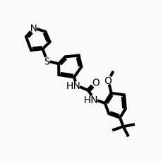 COc1ccc(C(C)(C)C)cc1NC(=O)Nc1cccc(Sc2ccncc2)c1